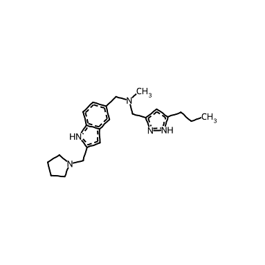 CCCc1cc(CN(C)Cc2ccc3[nH]c(CN4CCCC4)cc3c2)n[nH]1